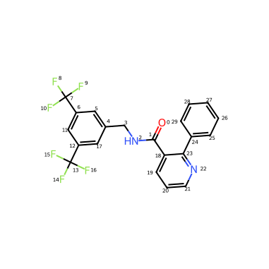 O=C(NCc1cc(C(F)(F)F)cc(C(F)(F)F)c1)c1cccnc1-c1ccccc1